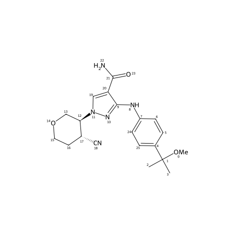 COC(C)(C)c1ccc(Nc2nn([C@@H]3COCC[C@H]3C#N)cc2C(N)=O)cc1